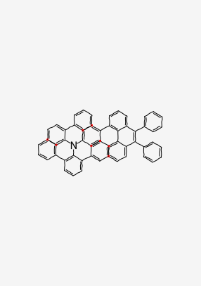 c1ccc(-c2ccccc2N(c2ccc(-c3cccc4c(-c5ccccc5)c(-c5ccccc5)c5ccccc5c34)cc2)c2c(-c3ccccc3)cccc2-c2ccccc2)cc1